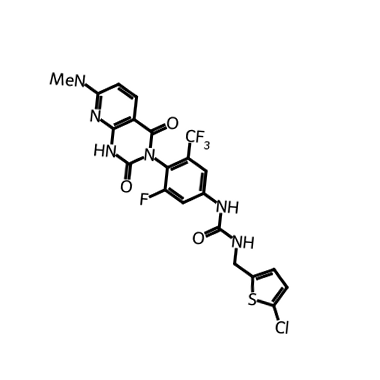 CNc1ccc2c(=O)n(-c3c(F)cc(NC(=O)NCc4ccc(Cl)s4)cc3C(F)(F)F)c(=O)[nH]c2n1